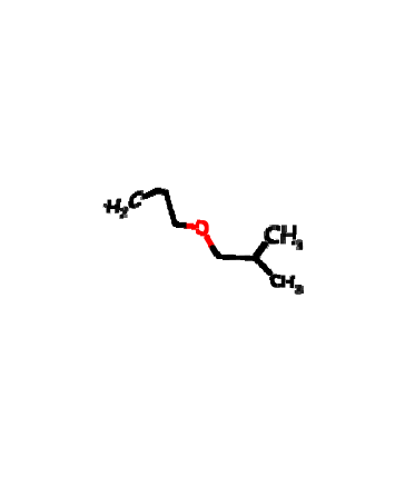 [CH2]CCOCC(C)C